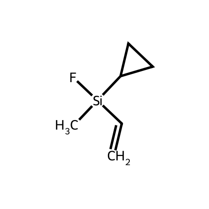 C=C[Si](C)(F)C1CC1